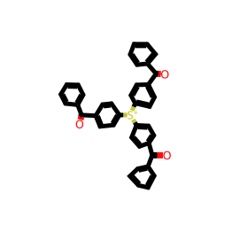 O=C(c1ccccc1)c1ccc([S+](c2ccc(C(=O)c3ccccc3)cc2)c2ccc(C(=O)c3ccccc3)cc2)cc1